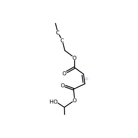 CCCCOC(=O)/C=C\C(=O)OC(C)O